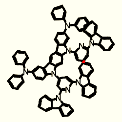 c1ccc(N(c2ccccc2)c2ccc3c(c2)c2cc4c5ccc(N(c6ccccc6)c6ccccc6)cc5n(-c5cccc(-n6c7ccccc7c7ccccc76)n5)c4cc2n3-c2cc(-n3c4ccccc4c4ccccc43)nc(-n3c4ccccc4c4ccccc43)c2)cc1